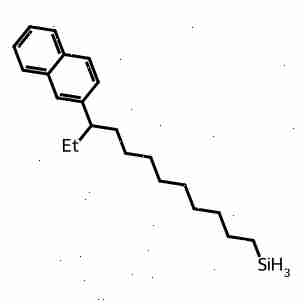 CCC(CCCCCCCCC[SiH3])c1ccc2ccccc2c1